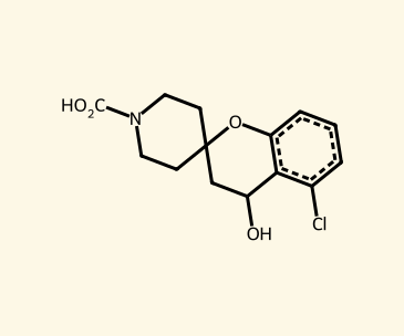 O=C(O)N1CCC2(CC1)CC(O)c1c(Cl)cccc1O2